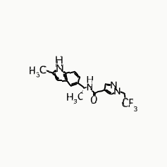 Cc1cc2cc([C@@H](C)NC(=O)c3cnn(CC(F)(F)F)c3)ccc2[nH]1